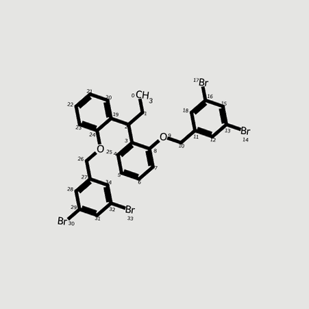 CCC(c1ccccc1OCc1cc(Br)cc(Br)c1)c1ccccc1OCc1cc(Br)cc(Br)c1